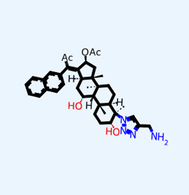 CC(=O)O[C@H]1C[C@@]2(C)[C@@H](C[C@@H](O)[C@H]3[C@@]4(C)CC[C@@H](O)[C@](C)(n5cc(CN)nn5)[C@@H]4CC[C@@]32C)/C1=C(/C(C)=O)c1ccc2ccccc2c1